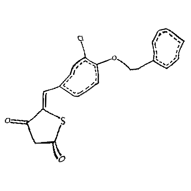 O=C1CC(=O)/C(=C/c2ccc(OCc3ccccc3)c(Cl)c2)S1